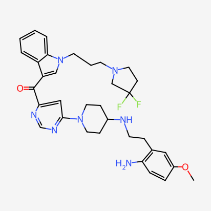 COc1ccc(N)c(CCNC2CCN(c3cc(C(=O)c4cn(CCCN5CCC(F)(F)C5)c5ccccc45)ncn3)CC2)c1